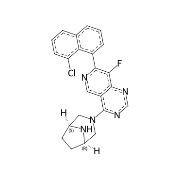 Fc1c(-c2cccc3cccc(Cl)c23)ncc2c(N3C[C@H]4CC[C@@H](C3)N4)ncnc12